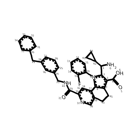 NC(c1c(C(=O)O)c2c(n1-c1ccccc1F)-c1cc(C(=O)NCc3cccc(Cc4ccccc4)c3)ncc1CC2)C1CC1